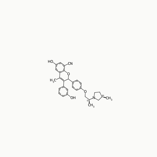 CC1=C(c2cccc(O)c2)C(c2ccc(OC[C@H](C)N3CC[C@@H](C)C3)cc2)Oc2c(C#N)cc(O)cc21